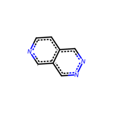 [c]1nccc2cnncc12